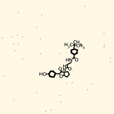 CC(C)(C)c1ccc(C(=O)NCCC(=O)NC23CCCC2OC(c2ccc(O)cc2)C3=O)cc1